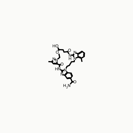 CCn1nc(C)cc1C(=O)Nc1nc2cc(C(N)=O)ccc2n1CCCCn1c(NC(=O)CCC(=O)O)nc2cccc(C)c21